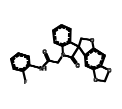 O=C(CN1C(=O)C2(COc3cc4c(cc32)OCO4)c2ccccc21)Nc1ccccc1F